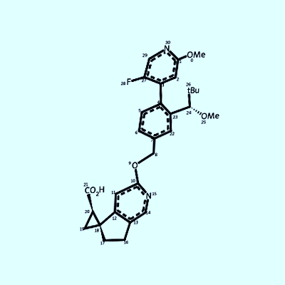 COc1cc(-c2ccc(COc3cc4c(cn3)CC[C@]43C[C@H]3C(=O)O)cc2[C@@H](OC)C(C)(C)C)c(F)cn1